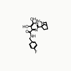 CC(=O)N1CC2CCC1(c1nc(O)c(O)c(C(=O)NCc3ccc(F)cc3)n1)C2